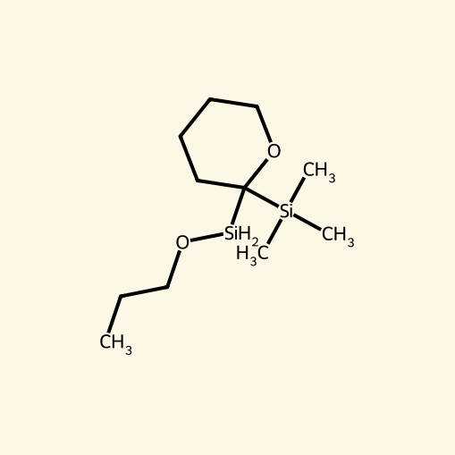 CCCO[SiH2]C1([Si](C)(C)C)CCCCO1